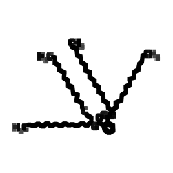 CCCCCCCCC=CCCCCCCCCC(CCCCCCCCCCCCCCC)OC(=O)c1ccccc1C(=O)OC(CCCCCCCCC=CCCCCCCCC)CCCCCCCCCCCCCCC